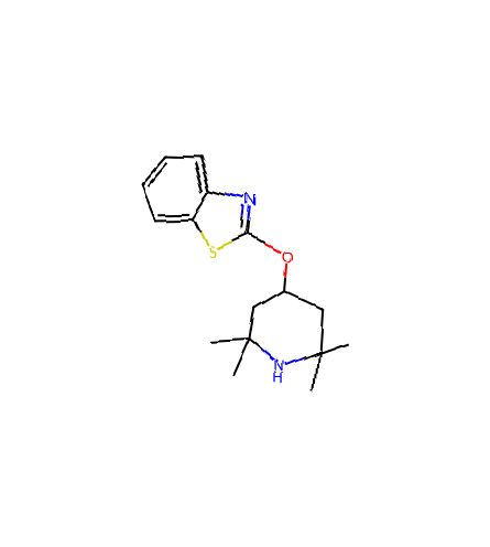 CC1(C)CC(Oc2nc3ccccc3s2)CC(C)(C)N1